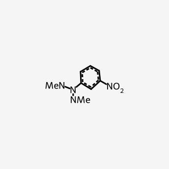 CNN(NC)c1cccc([N+](=O)[O-])c1